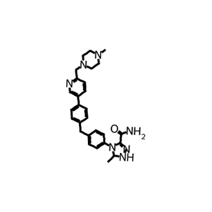 CC1NN=C(C(N)=O)N1c1ccc(Cc2ccc(-c3ccc(CN4CCN(C)CC4)nc3)cc2)cc1